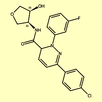 O=C(N[C@H]1COC[C@H]1O)C1C=CC(c2ccc(Cl)cc2)=NN1c1cccc(F)c1